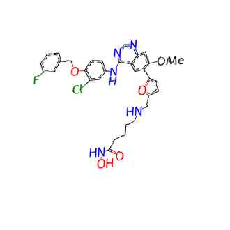 COc1cc2ncnc(Nc3ccc(OCc4cccc(F)c4)c(Cl)c3)c2cc1-c1ccc(CNCCCCC(=O)NO)o1